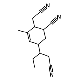 CCC(CC#N)C1C=C(C)C(CC#N)C(C#N)C1